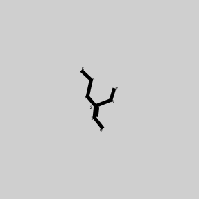 C/C=C(/[CH]CC)CC